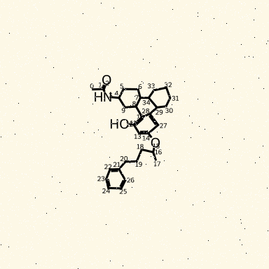 CC(=O)NC1CCC2C(C1)c1c(O)cc(OC(C)CCCc3ccccc3)cc1C1CCCCC12